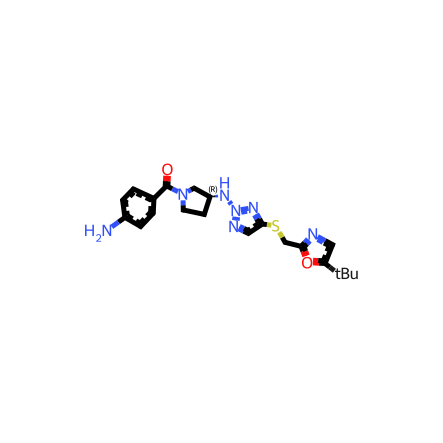 CC(C)(C)c1cnc(CSc2cnn(N[C@@H]3CCN(C(=O)c4ccc(N)cc4)C3)n2)o1